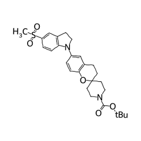 CC(C)(C)OC(=O)N1CCC2(CCc3cc(N4CCc5cc(S(C)(=O)=O)ccc54)ccc3O2)CC1